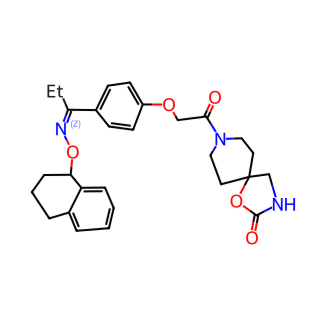 CC/C(=N/OC1CCCc2ccccc21)c1ccc(OCC(=O)N2CCC3(CC2)CNC(=O)O3)cc1